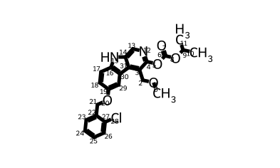 COCc1c(OC(=O)OC(C)C)ncc2[nH]c3ccc(OCc4ccccc4Cl)cc3c12